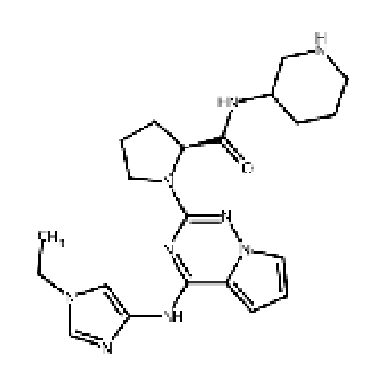 CCn1cnc(Nc2nc(N3CCC[C@H]3C(=O)NC3CCCNC3)nn3cccc23)c1